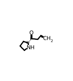 C=CCC(=O)[C@H]1CCCN1